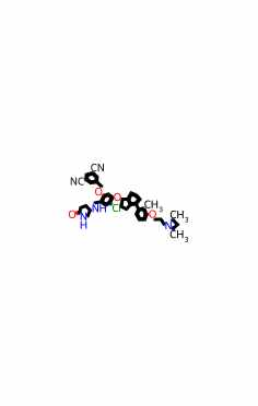 Cc1c(OCCCN2C(C)CC2C)cccc1-c1cccc2c1CC[C@@H]2Oc1cc(OCc2cc(C#N)cc(C#N)c2)c(CN[C@H]2CCC(=O)NC2)cc1Cl